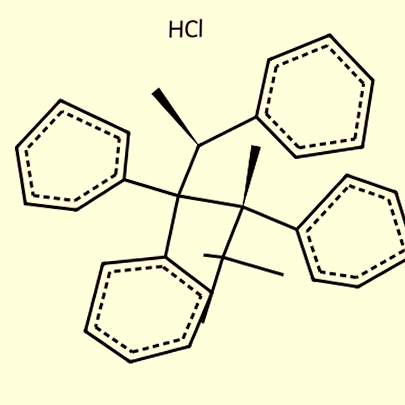 C[C@@H](c1ccccc1)C(c1ccccc1)(c1ccccc1)[C@](C)(c1ccccc1)C(C)(C)C.Cl